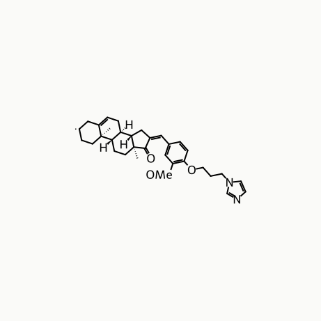 COc1cc(C=C2C[C@H]3[C@@H]4CC=C5C[CH]CC[C@]5(C)[C@H]4CC[C@]3(C)C2=O)ccc1OCCCn1ccnc1